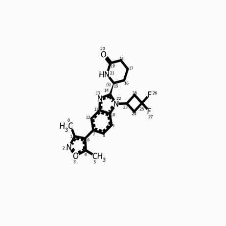 Cc1noc(C)c1-c1ccc2c(c1)nc([C@@H]1CCCC(=O)N1)n2C1CC(F)(F)C1